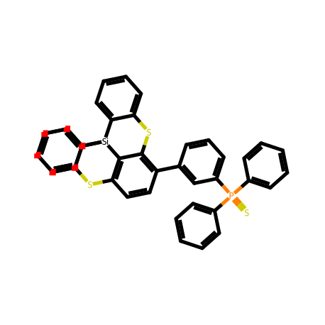 S=P(c1ccccc1)(c1ccccc1)c1cccc(-c2ccc3c4c2Sc2ccccc2[Si]4(c2ccccc2)c2ccccc2S3)c1